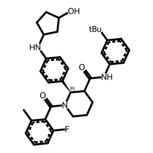 Cc1cccc(F)c1C(=O)N1CCCC(C(=O)Nc2cccc(C(C)(C)C)c2)[C@@H]1c1ccc(NC2CCC(O)C2)cc1